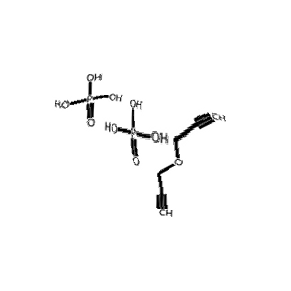 C#CCOCC#C.O=P(O)(O)O.O=P(O)(O)O